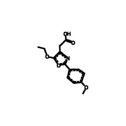 CCOc1oc(-c2ccc(OC)cc2)nc1CC(=O)O